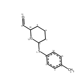 Cc1ccc(SC2CCCC(C=O)O2)cc1